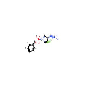 [N-]=[N+]=NC1CN(C(=O)OCc2ccccc2)CC1(F)F